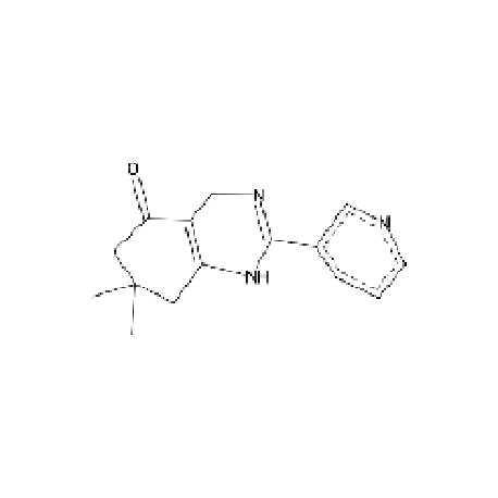 CC1(C)CC(=O)C2=C(C1)NC(c1cccnc1)=NC2